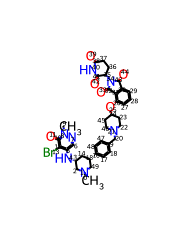 CN1C[C@H](Nc2cnn(C)c(=O)c2Br)C[C@H](c2ccc(CN3CCC(Oc4cccc5c4C(=O)N(C4CCC(=O)NC4=O)C5=O)CC3)cc2)C1